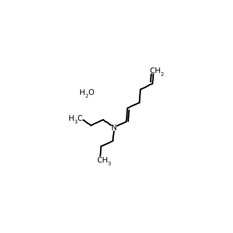 C=CCCC=CN(CCC)CCC.O